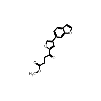 COC(=O)CCC(=O)c1cc(-c2ccc3ccoc3c2)co1